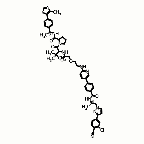 Cc1ncsc1-c1ccc([C@H](C)NC(=O)C2CCCN2C(=O)C(NC(=O)COCCNc2ccc(-c3ccc(C(=O)N[C@@H](C)Cn4ccc(-c5ccc(C#N)c(Cl)c5)n4)cc3)cn2)C(C)(C)C)cc1